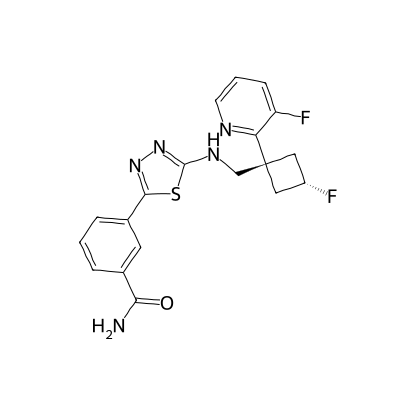 NC(=O)c1cccc(-c2nnc(NC[C@]3(c4ncccc4F)C[C@@H](F)C3)s2)c1